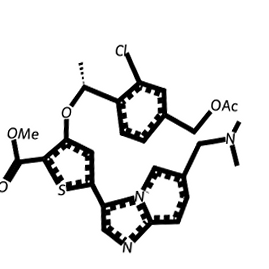 COC(=O)c1sc(-c2cnc3ccc(CN(C)C)cn23)cc1O[C@H](C)c1ccc(COC(C)=O)cc1Cl